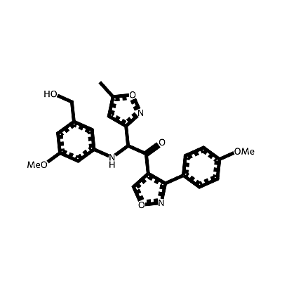 COc1ccc(-c2nocc2C(=O)C(Nc2cc(CO)cc(OC)c2)c2cc(C)on2)cc1